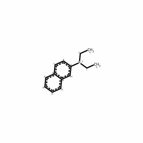 CCP(CC)c1ccc2ccccc2c1